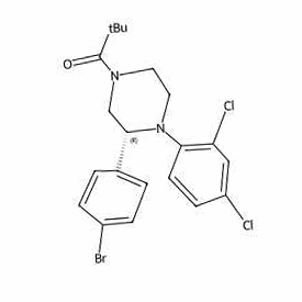 CC(C)(C)C(=O)N1CCN(c2ccc(Cl)cc2Cl)[C@H](c2ccc(Br)cc2)C1